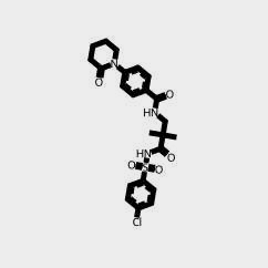 CC(C)(CNC(=O)c1ccc(N2CCCCC2=O)cc1)C(=O)NS(=O)(=O)c1ccc(Cl)cc1